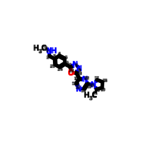 CNCc1ccc(-c2nnc(-c3cncc(N4CCC[C@H]4C)n3)o2)cc1